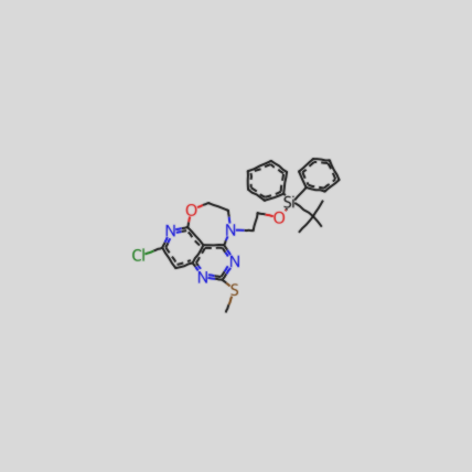 CSc1nc2c3c(nc(Cl)cc3n1)OCCN2CCO[Si](c1ccccc1)(c1ccccc1)C(C)(C)C